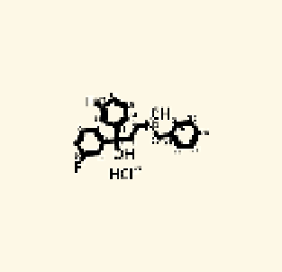 CN(CCC(O)(c1cccc(F)c1)c1cccc(F)c1)Cc1ccccc1.Cl